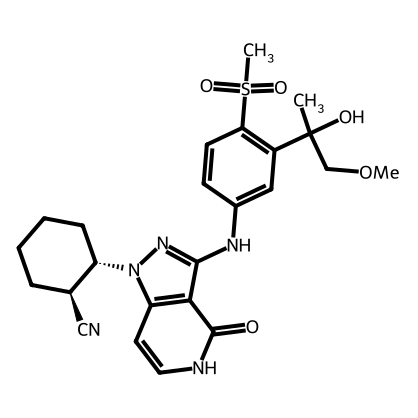 COCC(C)(O)c1cc(Nc2nn([C@H]3CCCC[C@@H]3C#N)c3cc[nH]c(=O)c23)ccc1S(C)(=O)=O